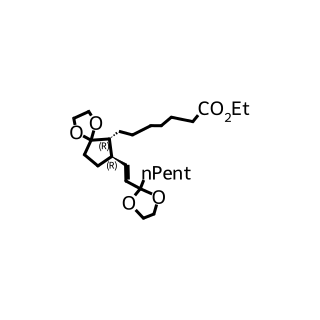 CCCCCC1(C=C[C@H]2CCC3(OCCO3)[C@@H]2CCCCCCC(=O)OCC)OCCO1